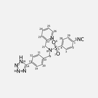 [C-]#[N+]c1ccc(S(=O)(=O)N(Cc2ccc(-c3nnn[nH]3)cc2)Cc2ccccn2)cc1